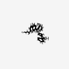 C=C/C=C(\C)c1ccc2ccc(-c3nc([C@H]4C[C@@H](NC5CCCC5)C4)n4ccnc(N)c34)cc2n1